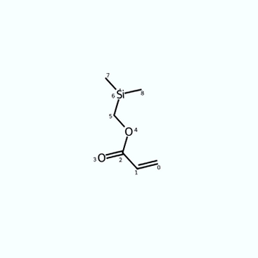 C=CC(=O)OC[Si](C)C